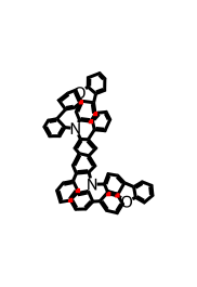 c1ccc(-c2ccccc2N(c2ccc3c(c2)oc2ccccc23)c2cc3cc(-c4ccccc4)c(N(c4ccc5c(c4)oc4ccccc45)c4ccccc4-c4ccccc4)cc3cc2-c2ccccc2)cc1